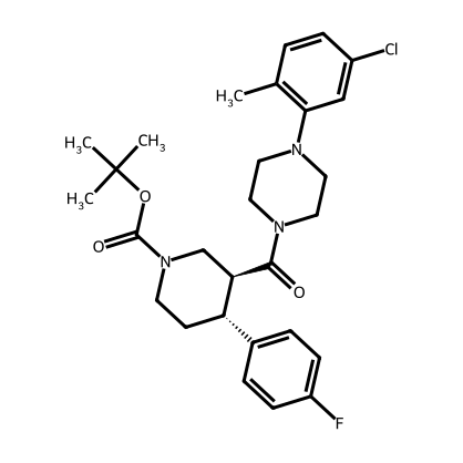 Cc1ccc(Cl)cc1N1CCN(C(=O)[C@@H]2CN(C(=O)OC(C)(C)C)CC[C@H]2c2ccc(F)cc2)CC1